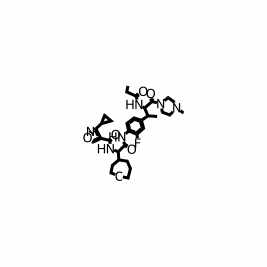 CCC(=O)NC(C(=O)N1CCN(C)CC1)C(C)c1ccc(NC(=O)C(NC(=O)c2conc2C2CC2)C2CCCCCC2)c(F)c1